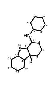 CC12CCCC(NC3CCCCC3)C1SC1CCCCC12